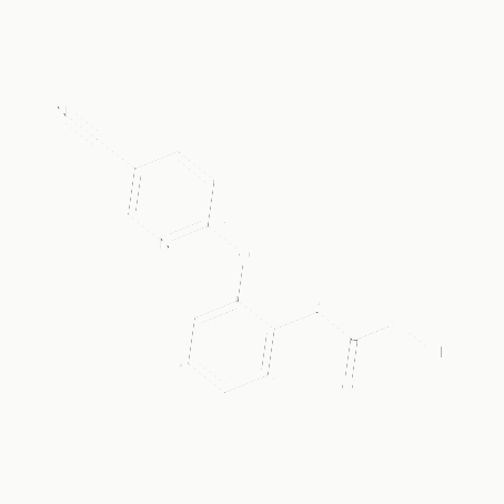 COC(=O)Cc1ccccc1Oc1ccc(C#N)cn1